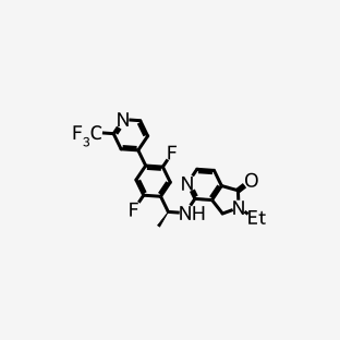 CCN1Cc2c(ccnc2N[C@@H](C)c2cc(F)c(-c3ccnc(C(F)(F)F)c3)cc2F)C1=O